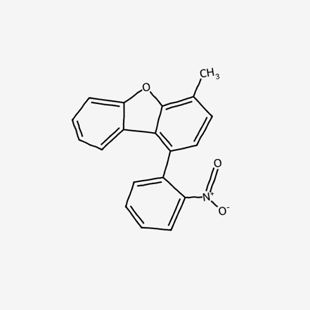 Cc1ccc(-c2ccccc2[N+](=O)[O-])c2c1oc1ccccc12